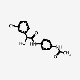 CC(=O)Nc1ccc(NC(=O)C(O)c2cccc(Cl)c2)cc1